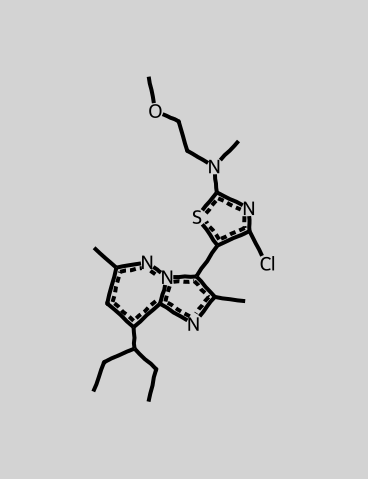 CCC(CC)c1cc(C)nn2c(-c3sc(N(C)CCOC)nc3Cl)c(C)nc12